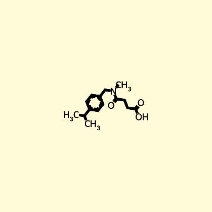 CC(C)c1ccc(CN(C)C(=O)CCC(=O)O)cc1